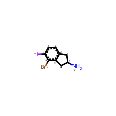 NC1Cc2ccc(I)c(Br)c2C1